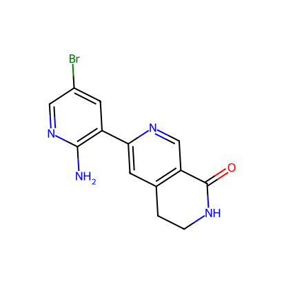 Nc1ncc(Br)cc1-c1cc2c(cn1)C(=O)NCC2